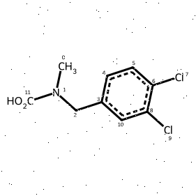 CN(Cc1ccc(Cl)c(Cl)c1)C(=O)O